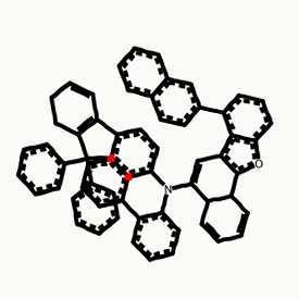 C1=CC2C(N(c3ccc4c(c3)C(c3ccccc3)(c3ccccc3)C3=C4C=CCC3)c3ccccc3-c3ccccc3)=Cc3c(oc4cccc(-c5ccc6ccccc6c5)c34)C2C=C1